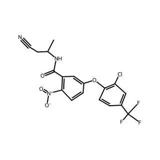 CC(CC#N)NC(=O)c1cc(Oc2ccc(C(F)(F)F)cc2Cl)ccc1[N+](=O)[O-]